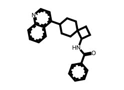 O=C(NC1CCC12CCC(c1ccnc3ccccc13)CC2)c1ccccc1